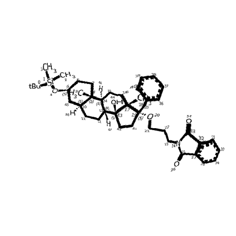 CC(C)(C)[Si](C)(C)O[C@H]1CC[C@@]2(C)[C@@H](CC[C@@H]3[C@@H]2CC[C@]2(C)[C@@](OCCCN4C(=O)c5ccccc5C4=O)(c4ccccc4)CC[C@]32O)C1